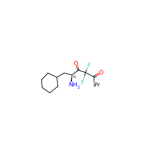 CC(C)C(=O)C(F)(F)C(=O)[C@@H](N)CC1CCCCC1